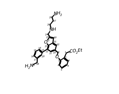 CCOC(=O)Cc1ccccc1OCc1cc(-c2cccc(CN)c2)c2oc(CNCCCN)cc2c1